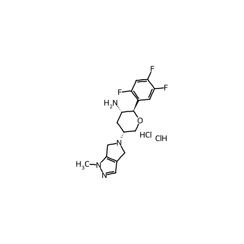 Cl.Cl.Cn1ncc2c1CN([C@H]1CO[C@H](c3cc(F)c(F)cc3F)[C@@H](N)C1)C2